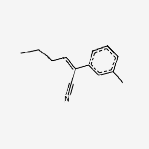 CCC/C=C(\C#N)c1cccc(C)c1